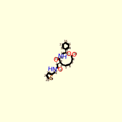 O=C(C[C@@H]1C/C=C\CCC(=O)O[C@H](c2ccccc2)CNC1=O)NCc1cccs1